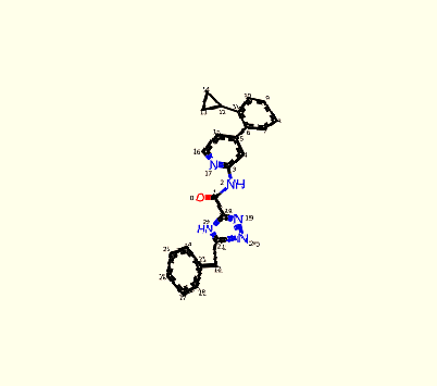 O=C(Nc1cc(-c2ccccc2C2CC2)ccn1)c1nnc(Cc2ccccc2)[nH]1